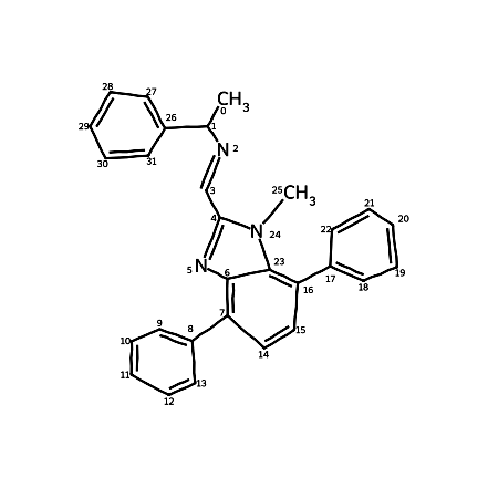 CC(/N=C/c1nc2c(-c3ccccc3)ccc(-c3ccccc3)c2n1C)c1ccccc1